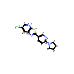 Clc1cnc2sc(-c3ccc(N4CCCC4)nc3)nc2c1